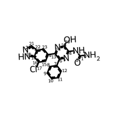 NC(=O)Nc1nc(-c2ccccc2)c(-c2cc(Cl)c3[nH]ncc3c2)nc1O